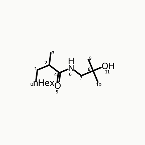 CCCCCCCC(C)C(=O)NCC(C)(C)O